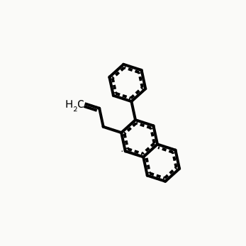 C=CCc1[c]c2ccccc2cc1-c1ccccc1